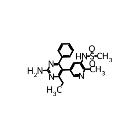 CCc1nc(N)nc(-c2ccccc2)c1-c1cnc(C)c(NS(C)(=O)=O)c1